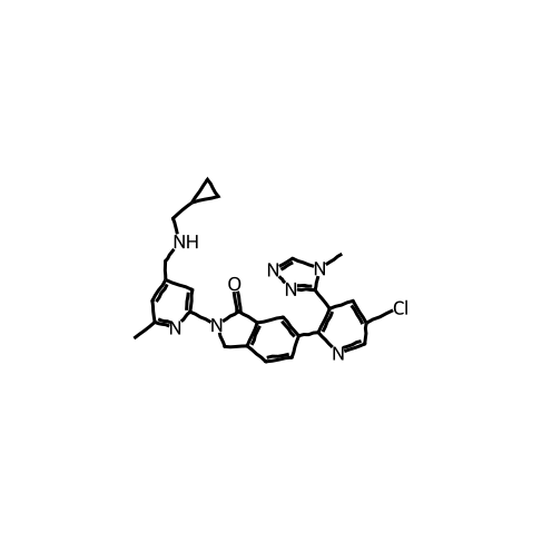 Cc1cc(CNCC2CC2)cc(N2Cc3ccc(-c4ncc(Cl)cc4-c4nncn4C)cc3C2=O)n1